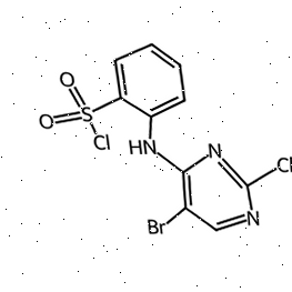 O=S(=O)(Cl)c1ccccc1Nc1nc(Cl)ncc1Br